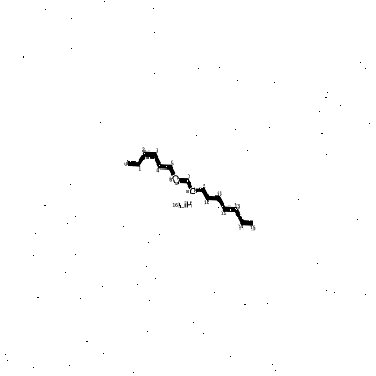 [CH2]C/C=C\CCOCOCCCCCCC.[LiH]